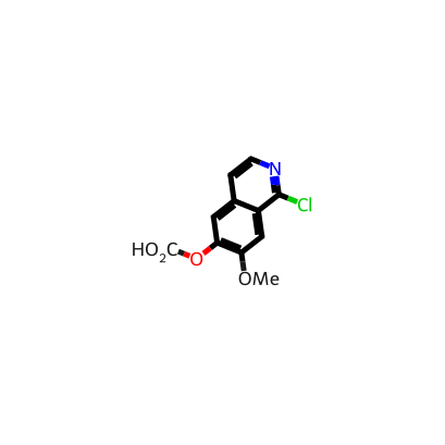 COc1cc2c(Cl)nccc2cc1OC(=O)O